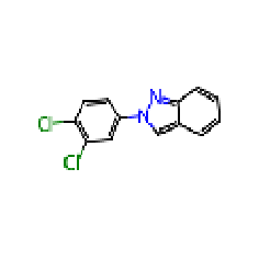 Clc1ccc(-n2cc3ccccc3n2)cc1Cl